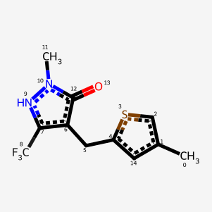 Cc1csc(Cc2c(C(F)(F)F)[nH]n(C)c2=O)c1